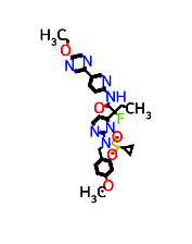 CCOc1cnc(-c2ccc(NC(=O)C(F)(CC)c3ccnc(N(Cc4ccc(OC)cc4)S(=O)(=O)C4CC4)n3)nc2)cn1